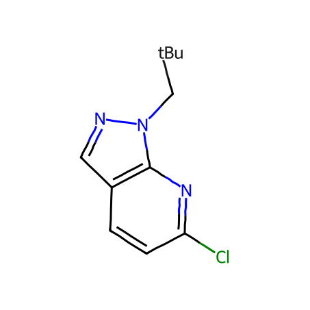 CC(C)(C)Cn1ncc2ccc(Cl)nc21